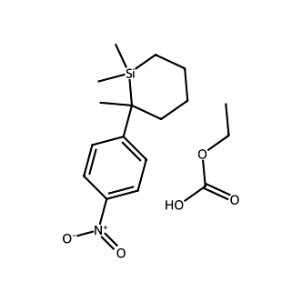 CC1(c2ccc([N+](=O)[O-])cc2)CCCC[Si]1(C)C.CCOC(=O)O